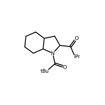 CC(C)C(=O)C1CC2CCCCC2N1C(=O)C(C)(C)C